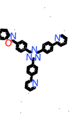 c1ccc(-c2ccc(-c3nc(-c4ccc(-c5ccccn5)cc4)nc(-c4ccc(-c5nc6ccccc6o5)cc4)n3)cc2)nc1